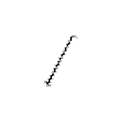 NCCOCCOCCOCCOCOOCCOCCOCCCCCC(=O)O